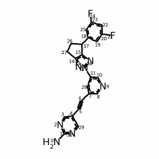 Nc1ncc(C#Cc2cncc(-n3nc4c(n3)C(c3cc(F)cc(F)c3)CC4)c2)cn1